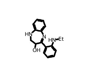 CCNc1ccccc1C1=Nc2ccccc2NCC1O